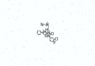 CCN(CCCN(C(=O)Nc1ccc(F)c(Cl)c1)[C@@H]1CC[C@]2(c3ccccc3)C[C@H]12)CCN(C)C